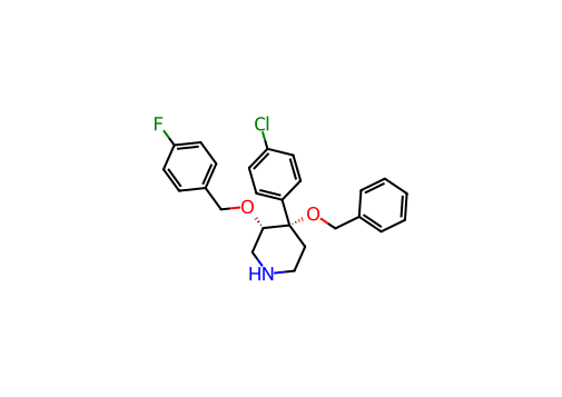 Fc1ccc(CO[C@H]2CNCC[C@]2(OCc2ccccc2)c2ccc(Cl)cc2)cc1